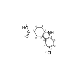 O=C(O)C1CCc2[nH]c3ccc(Cl)cc3c2C1